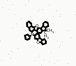 CC1(C)c2ccccc2-c2c1ccc1c2oc2c3ccccc3cc(N(c3ccccc3)c3ccc4c(c3)oc3ccccc34)c12